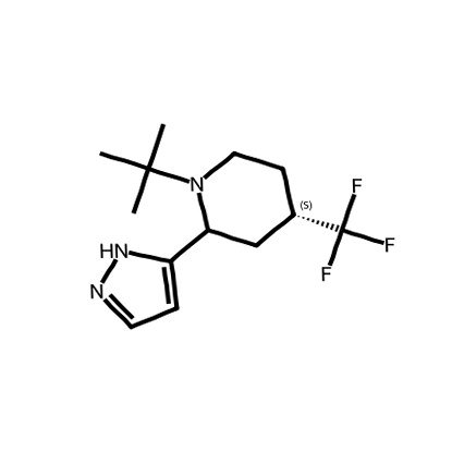 CC(C)(C)N1CC[C@H](C(F)(F)F)CC1c1ccn[nH]1